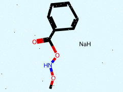 CONOC(=O)c1ccccc1.[NaH]